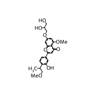 COCC(C)c1ccc(-c2cc(=O)c3c(OC)cc(OCC(O)CO)cc3o2)cc1O